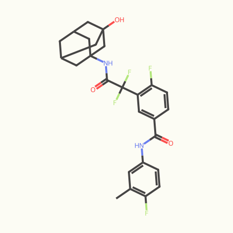 Cc1cc(NC(=O)c2ccc(F)c(C(F)(F)C(=O)NC34CC5CC(CC(O)(C5)C3)C4)c2)ccc1F